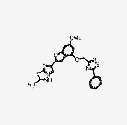 COc1cc(OCc2nsc(-c3ccccc3)n2)c2cc(-c3cn4c(n3)SC(C)N4)oc2c1